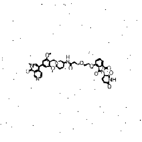 COc1cc(-c2cn(C)c(=O)c3cnccc23)cc(OC)c1CN1CCCC(NC(=O)CCOCCOc2cccc3c2C(=O)N(C2CCC(=O)NC2=O)C3=O)C1